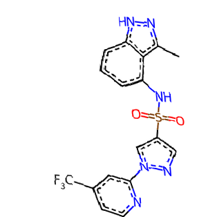 Cc1n[nH]c2cccc(NS(=O)(=O)c3cnn(-c4cc(C(F)(F)F)ccn4)c3)c12